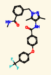 CNC(=O)c1cccc(Cn2nc(C)c(NC(=O)c3ccc(Oc4ccc(C(F)(F)F)cc4)cc3)c2C)c1